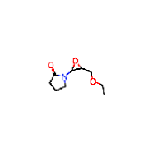 CCOCC1OC1N1CCCC1=O